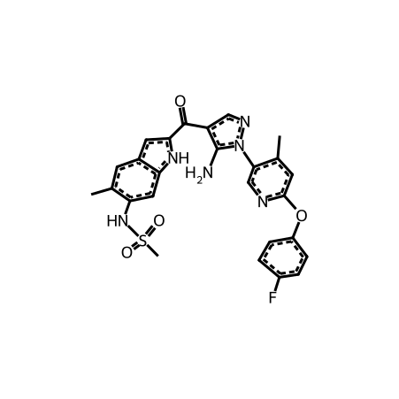 Cc1cc2cc(C(=O)c3cnn(-c4cnc(Oc5ccc(F)cc5)cc4C)c3N)[nH]c2cc1NS(C)(=O)=O